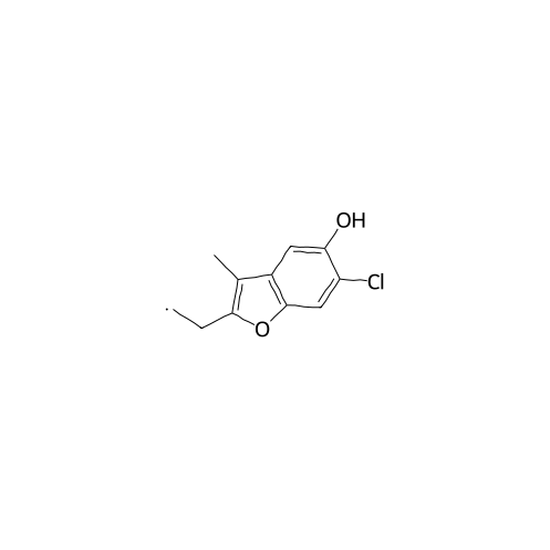 [CH2]Cc1oc2cc(Cl)c(O)cc2c1C